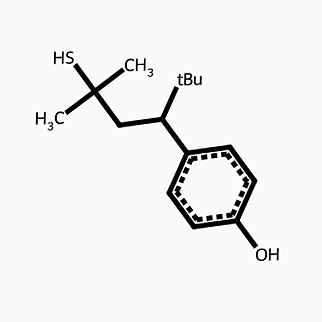 CC(C)(S)CC(c1ccc(O)cc1)C(C)(C)C